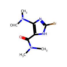 CN(C)C(=O)c1[nH]c(Br)nc1N(C)C=O